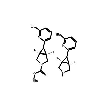 CC(C)(C)OC(=O)N1C[C@@H]2C(c3cccc(C(C)(C)C)n3)[C@@H]2C1.CC(C)(C)c1cccc(C2[C@H]3CNC[C@@H]23)n1